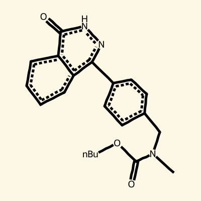 CCCCOC(=O)N(C)Cc1ccc(-c2n[nH]c(=O)c3ccccc23)cc1